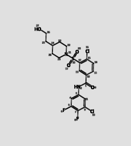 O=C(Nc1cc(F)c(F)c(Cl)c1)c1ccc(Cl)c(S(=O)(=O)N2CCC(CCO)CC2)c1